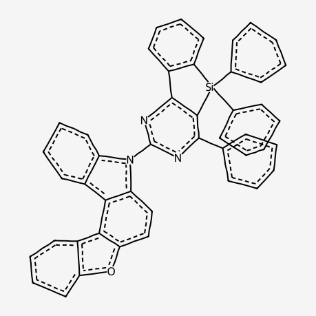 c1ccc(-c2nc(-n3c4ccccc4c4c5c(ccc43)oc3ccccc35)nc3c2[Si](c2ccccc2)(c2ccccc2)c2ccccc2-3)cc1